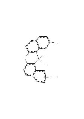 CC1(C)c2c(ccc3ccc(O)cc23)Oc2ccc3ccc(O)cc3c21